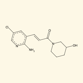 Nc1ncc(Cl)cc1C=CC(=O)N1CCCC(O)C1